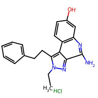 CCn1nc2c(N)nc3cc(O)ccc3c2c1CCc1ccccc1.Cl